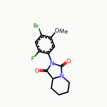 COc1cc(N2C(=O)C3CCCCN3C2=O)c(F)cc1Br